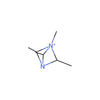 CC1N2C(C)[N+]1(C)C2C